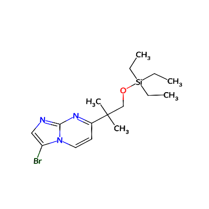 CC[Si](CC)(CC)OCC(C)(C)c1ccn2c(Br)cnc2n1